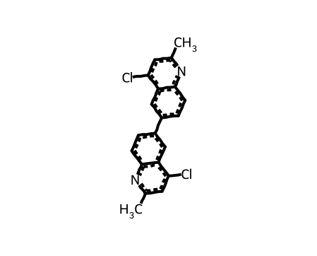 Cc1cc(Cl)c2cc(-c3ccc4nc(C)cc(Cl)c4c3)ccc2n1